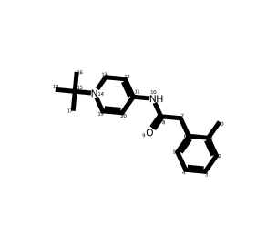 Cc1ccccc1CC(=O)NC1=CCN(C(C)(C)C)C=C1